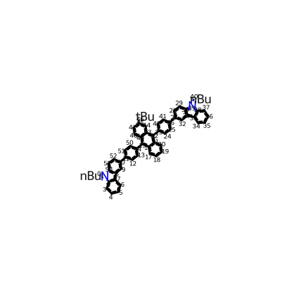 CCCCn1c2ccccc2c2cc(-c3ccc(-c4c5ccccc5c(-c5ccc(-c6ccc7c(c6)c6ccccc6n7CCCC)cc5)c5cc(C(C)(C)C)ccc45)cc3)ccc21